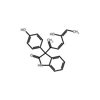 C=C(/C=C\C(O)=C/C)C1(c2ccc(O)cc2)C(=O)Nc2ccccc21